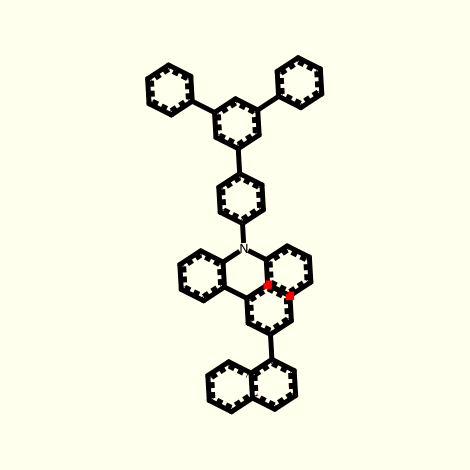 c1ccc(-c2cc(-c3ccccc3)cc(-c3ccc(N(c4ccccc4)c4ccccc4-c4cccc(-c5cccc6ccccc56)c4)cc3)c2)cc1